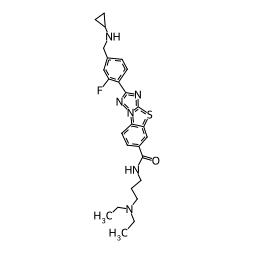 CCN(CC)CCCNC(=O)c1ccc2c(c1)sc1nc(-c3ccc(CNC4CC4)cc3F)nn12